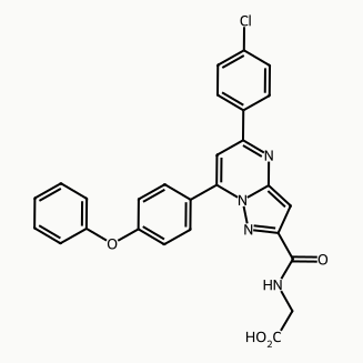 O=C(O)CNC(=O)c1cc2nc(-c3ccc(Cl)cc3)cc(-c3ccc(Oc4ccccc4)cc3)n2n1